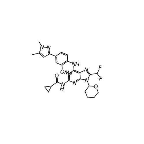 COc1cc(-c2cc(C)n(C)n2)ccc1Nc1cc(NC(=O)C2CC2)nc2c1nc(C(F)F)n2C1CCCCO1